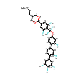 COCCC1COC(c2cc(F)c(C(F)(F)Oc3ccc(-c4ccc(-c5cc(F)c(F)c(F)c5)c(F)c4)c(F)c3)c(F)c2)OC1